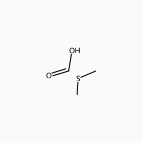 CSC.O=CO